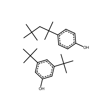 CC(C)(C)CC(C)(C)c1ccc(O)cc1.CC(C)(C)c1cc(O)cc(C(C)(C)C)c1